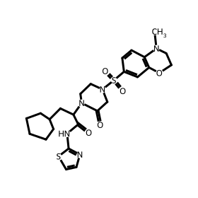 CN1CCOc2cc(S(=O)(=O)N3CCN(C(CC4CCCCC4)C(=O)Nc4nccs4)C(=O)C3)ccc21